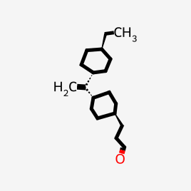 C=C([C@H]1CC[C@H](CC)CC1)[C@H]1CC[C@H](CCC=O)CC1